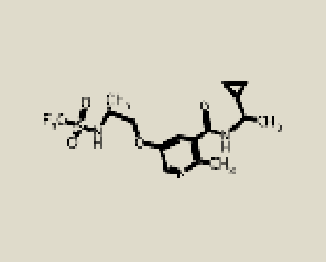 Cc1ncc(OC[C@H](C)NS(=O)(=O)C(F)(F)F)cc1C(=O)NC(C)C1CC1